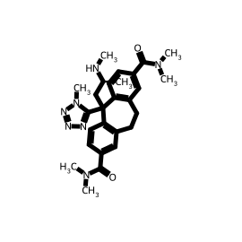 CN[C@@H](C)CC1(c2nnnn2C)c2ccc(C(=O)N(C)C)cc2CCc2cc(C(=O)N(C)C)ccc21